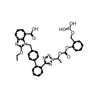 CCOc1nc2cccc(C(=O)O)c2n1Cc1ccc(-c2ccccc2-c2nnn(C(C)OC(=O)Oc3ccccc3CON(O)O)n2)cc1